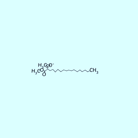 CCCCCCCCCCCCCCCCC(C(=O)OC)[S+](C)[O-]